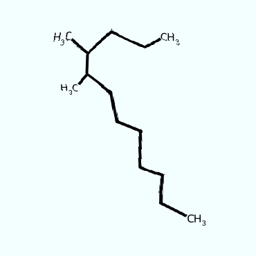 CC[CH]C(C)C(C)CCCCCCC